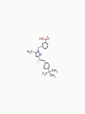 Cc1cc(/C(F)=C/c2ccc(C(C)(C)C(F)(F)F)cc2)nn1Cc1cccc(C2(O)CC2)c1